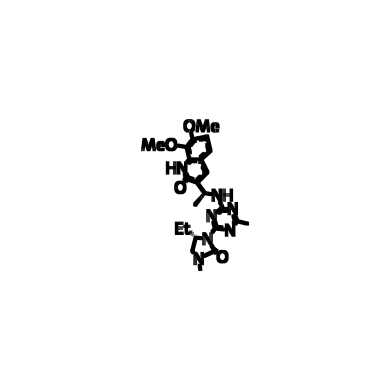 CC[C@H]1CN(C)C(=O)N1c1nc(C)nc(N[C@@H](C)c2cc3ccc(OC)c(OC)c3[nH]c2=O)n1